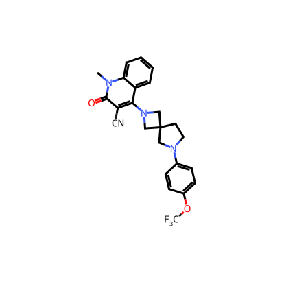 Cn1c(=O)c(C#N)c(N2CC3(CCN(c4ccc(OC(F)(F)F)cc4)C3)C2)c2ccccc21